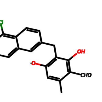 Cc1cc([O])c(Cc2ccc3c(Cl)cccc3c2)c(O)c1C=O